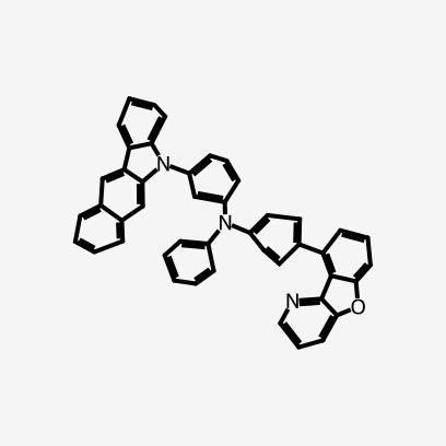 c1ccc(N(c2ccc(-c3cccc4oc5cccnc5c34)cc2)c2cccc(-n3c4ccccc4c4cc5ccccc5cc43)c2)cc1